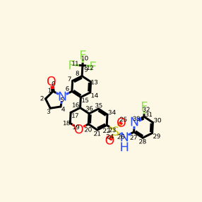 O=C1CCCN1c1cc(C(F)(F)F)ccc1C1CCOc2cc(S(=O)(=O)Nc3cccc(F)n3)ccc21